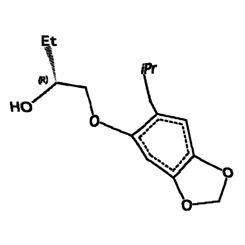 CC[C@@H](O)COc1cc2c(cc1C(C)C)OCO2